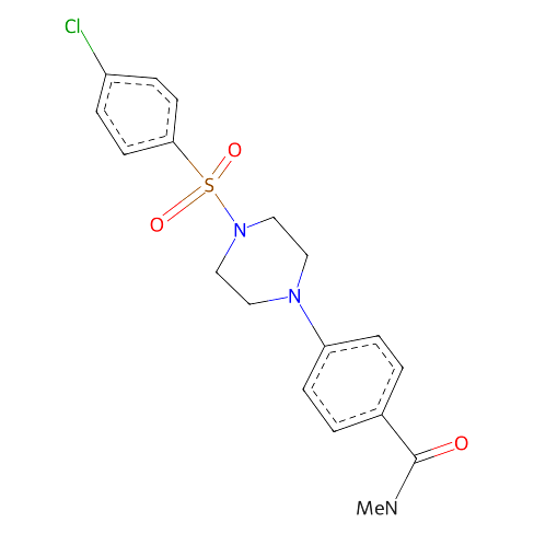 CNC(=O)c1ccc(N2CCN(S(=O)(=O)c3ccc(Cl)cc3)CC2)cc1